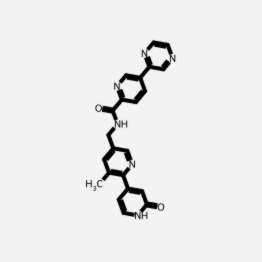 Cc1cc(CNC(=O)c2ccc(-c3cnccn3)cn2)cnc1-c1cc[nH]c(=O)c1